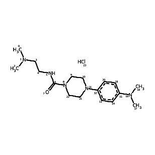 CN(C)CCNC(=O)N1CCN(c2ccc(N(C)C)cc2)CC1.Cl